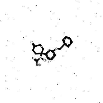 CN(C(=O)C(C)(C)C)C1(c2cccc(OCc3ccccc3)c2)CCC(=O)CC1